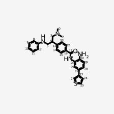 CN(C)CC(CNc1ccccc1)c1ccc(C(=O)Nc2cc(-c3ccsc3)ccc2N)cc1